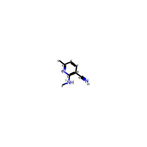 CNc1nc(C)ccc1C#N